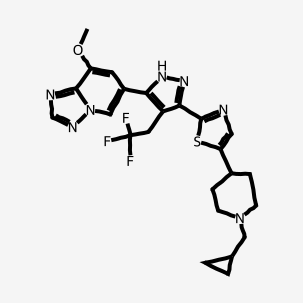 COc1cc(-c2[nH]nc(-c3ncc(C4CCN(CC5CC5)CC4)s3)c2CC(F)(F)F)cn2ncnc12